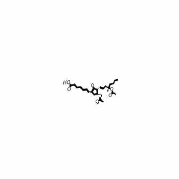 CCCC[C@@](C)(CC=C[C@H]1C(=O)[C@H](CC=CCCCC(=O)O)C[C@H]1OC(C)=O)OC(C)=O